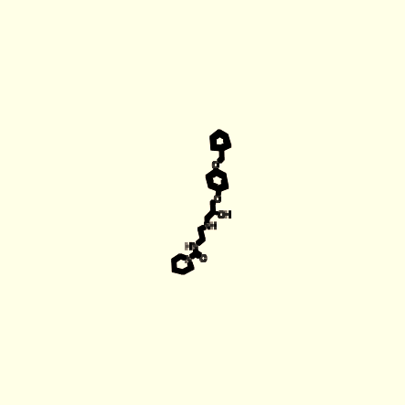 O=C(NCCNC[C@H](O)COc1ccc(OCc2ccccc2)cc1)N1CCCCC1